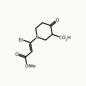 CCC(=CC(=O)OC)N1CCC(=O)C(C(=O)O)C1